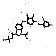 CC(C)(O)CC(=O)N1CN(C(=O)CO)c2cc(Cn3ccc(OCc4ccc(F)cc4F)c(Cl)c3=O)ccc21